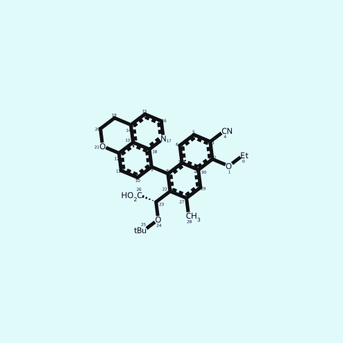 CCOc1c(C#N)ccc2c(-c3ccc4c5c(ccnc35)CCO4)c([C@H](OC(C)(C)C)C(=O)O)c(C)cc12